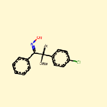 COC(C(C)=O)(C(=NO)c1ccccc1)c1ccc(Cl)cc1